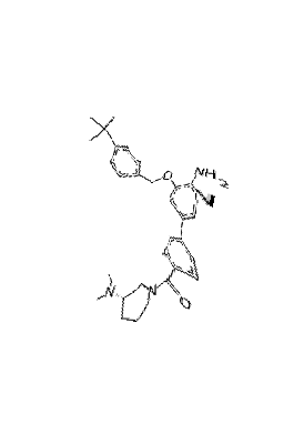 CN(C)[C@H]1CCN(C(=O)c2ccc(-c3cnc(N)c(OCc4ccc(C(C)(C)C)cc4)c3)cc2)C1